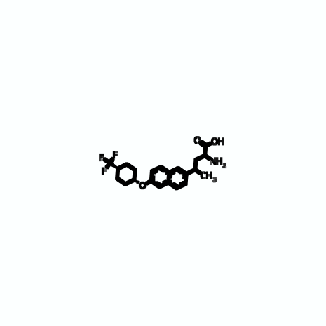 CC(CC(N)C(=O)O)c1ccc2cc(O[C@H]3CC[C@H](C(F)(F)F)CC3)ccc2c1